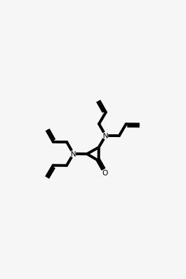 C=CCN(CC=C)C1C(=O)C1N(CC=C)CC=C